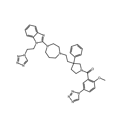 COc1ccc(-n2cnnn2)cc1C(=O)N1CCC(CCN2CCCN(c3nc4ccccc4n3CCn3cnnn3)CC2)(c2ccccc2)C1